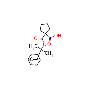 CC(C)(OC(=O)C1(C(=O)O)CCCC1)C1CC2C=CC1CC2